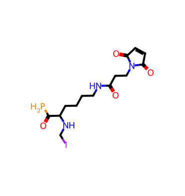 O=C(CCN1C(=O)C=CC1=O)NCCCCC(NCI)C(=O)P